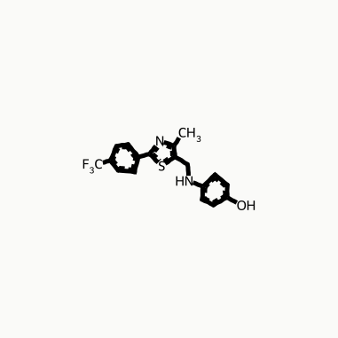 Cc1nc(-c2ccc(C(F)(F)F)cc2)sc1CNc1ccc(O)cc1